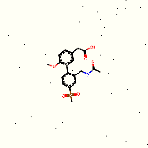 COc1ccc(CC(=O)O)cc1-c1ccc(S(C)(=O)=O)cc1CNC(C)=O